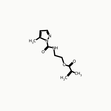 C=C(C)C(=O)OCCNC(=O)n1nccc1C